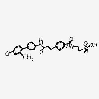 Cc1cc(Cl)ccc1-c1ccc(NC(=O)CCc2ccc(C(=O)NCCS(=O)(=O)O)cc2)cc1